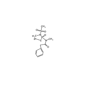 CC(C)SP(=O)(N(C)C(=O)Cc1ccccc1)N(C)S(C)(=O)=O